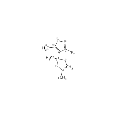 CCCC(C)(CC)c1c(F)coc1C